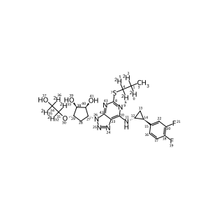 [2H]C([2H])(C)C([2H])([2H])Sc1nc(N[C@@H]2C[C@H]2c2ccc(F)c(F)c2)c2nnn([C@@H]3C[C@H](OC([2H])([2H])C([2H])([2H])O)[C@@H](O)[C@H]3O)c2n1